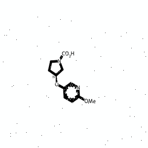 COc1ccc(O[C@H]2CCN(C(=O)O)C2)cn1